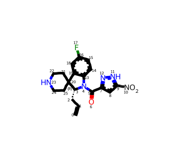 C=CC[C@H]1N(C(=O)c2cc([N+](=O)[O-])[nH]n2)c2ccc(F)cc2C12CCNCC2